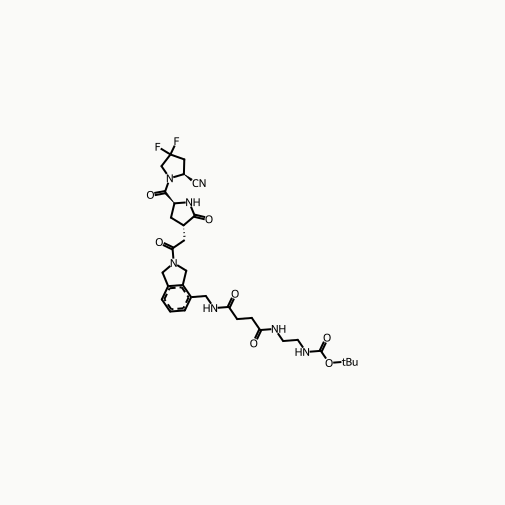 CC(C)(C)OC(=O)NCCNC(=O)CCC(=O)NCc1cccc2c1CN(C(=O)C[C@@H]1C[C@@H](C(=O)N3CC(F)(F)C[C@H]3C#N)NC1=O)C2